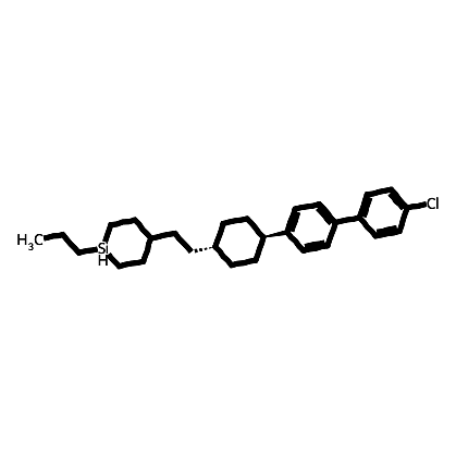 CCC[SiH]1CCC(CC[C@H]2CC[C@H](c3ccc(-c4ccc(Cl)cc4)cc3)CC2)CC1